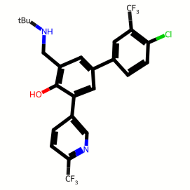 CC(C)(C)NCc1cc(-c2ccc(Cl)c(C(F)(F)F)c2)cc(-c2ccc(C(F)(F)F)nc2)c1O